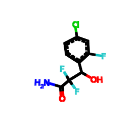 NC(=O)C(F)(F)C(O)c1ccc(Cl)cc1F